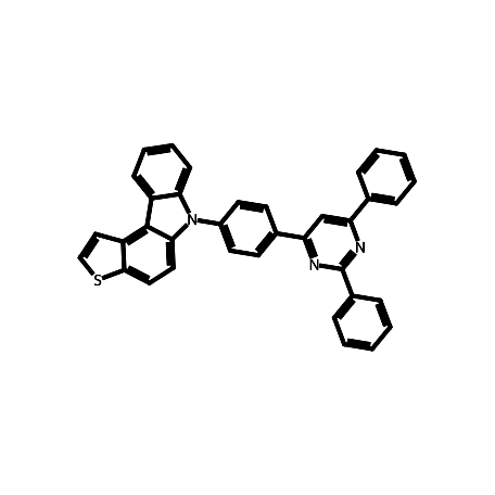 c1ccc(-c2cc(-c3ccc(-n4c5ccccc5c5c6ccsc6ccc54)cc3)nc(-c3ccccc3)n2)cc1